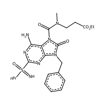 CCCS(=N)(=O)c1nc(N)c2c(n1)n(Cc1ccccc1)c(=O)n2C(=O)N(C)CCC(=O)OCC